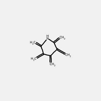 C=C1NC(=C)C(=C)C(=C)C1=C